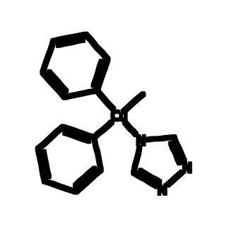 [CH3][Cu]([c]1ccccc1)([c]1ccccc1)[n]1cnnc1